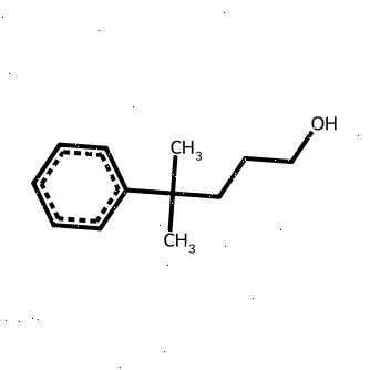 CC(C)(CCCO)c1ccccc1